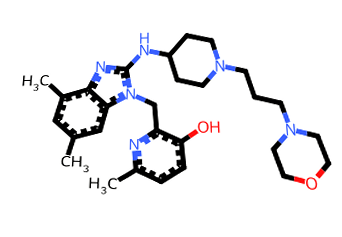 Cc1cc(C)c2nc(NC3CCN(CCCN4CCOCC4)CC3)n(Cc3nc(C)ccc3O)c2c1